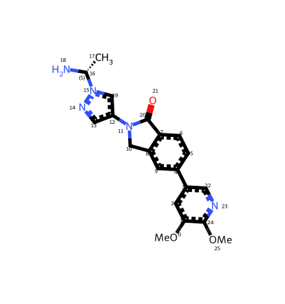 COc1cc(-c2ccc3c(c2)CN(c2cnn([C@@H](C)N)c2)C3=O)cnc1OC